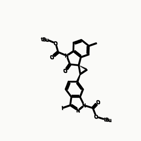 Cc1ccc2c(c1)[C@]1(C[C@H]1c1ccc3c(I)nn(C(=O)OC(C)(C)C)c3c1)C(=O)N2C(=O)OC(C)(C)C